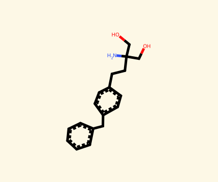 NC(CO)(CO)CCc1ccc(Cc2ccccc2)cc1